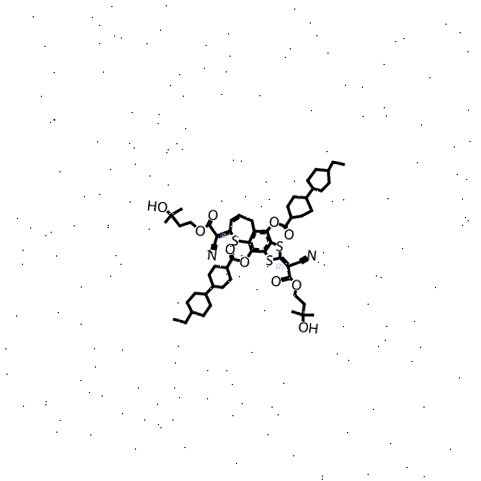 CCC1CCC(C2CCC(C(=O)Oc3c4c(c(OC(=O)C5CCC(C6CCC(CC)CC6)CC5)c5c3S/C(=C(\C#N)C(=O)OCCC(C)(C)O)S5)S/C(=C(\C#N)C(=O)OCCC(C)(C)O)C=CC4)CC2)CC1